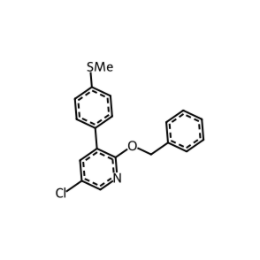 CSc1ccc(-c2cc(Cl)cnc2OCc2ccccc2)cc1